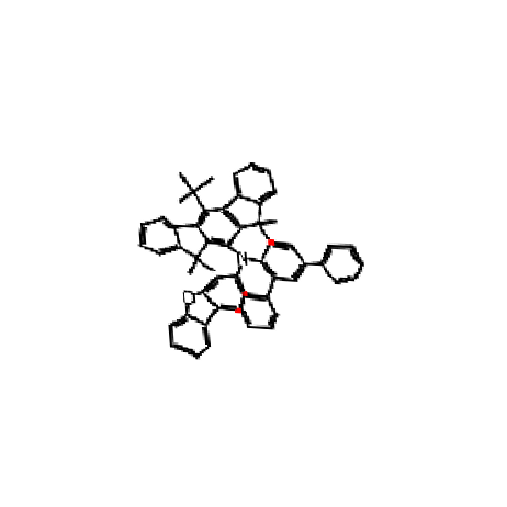 CC(C)(C)c1c2c(c(N(c3ccc4c(c3)oc3ccccc34)c3ccc(-c4ccccc4)cc3-c3ccccc3)c3c1-c1ccccc1C3(C)C)C(C)(C)c1ccccc1-2